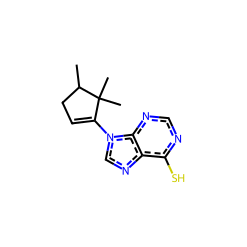 CC1CC=C(n2cnc3c(S)ncnc32)C1(C)C